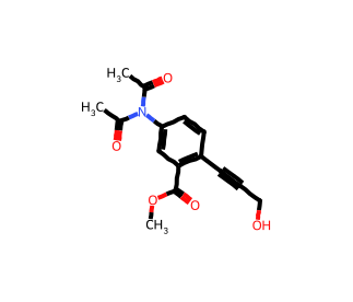 COC(=O)c1cc(N(C(C)=O)C(C)=O)ccc1C#CCO